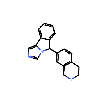 c1ccc2c(c1)-c1cncn1C2c1ccc2c(c1)CNCC2